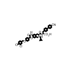 N#Cc1ccc(-c2ccc(C[C@H](NC(=O)[C@@H]3Cc4cc5c(cc4CN3CC3CC3)OC(c3ccc(OCc4ccc(Cl)c(Cl)c4)cc3)C(=O)N5)C(=O)O)cc2)cc1